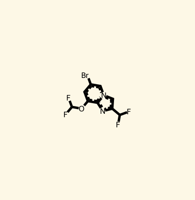 FC(F)Oc1cc(Br)cn2cc(C(F)F)nc12